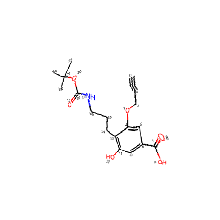 C#CCOc1cc(C(=O)O)cc(O)c1CCCNC(=O)OC(C)(C)C